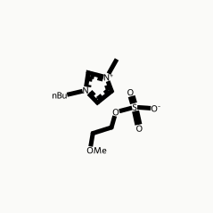 CCCCn1cc[n+](C)c1.COCCOS(=O)(=O)[O-]